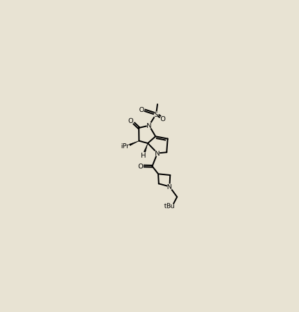 CC(C)[C@H]1C(=O)N(S(C)(=O)=O)C2=CCN(C(=O)C3CN(CC(C)(C)C)C3)[C@@H]21